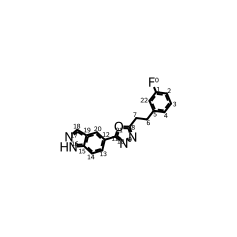 Fc1cccc(CCc2nnc(-c3ccc4[nH]ncc4c3)o2)c1